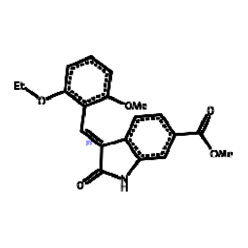 CCOc1cccc(OC)c1/C=C1/C(=O)Nc2cc(C(=O)OC)ccc21